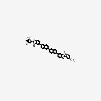 C[C@H]1CN[C@H](c2nc3ccc(-c4ccc5cc(-c6ccc7cc(-c8ccc9nc([C@@H]%10C[C@H]%11C[C@H]%11N%10)[nH]c9c8)ccc7c6)ccc5c4)cc3[nH]2)C1